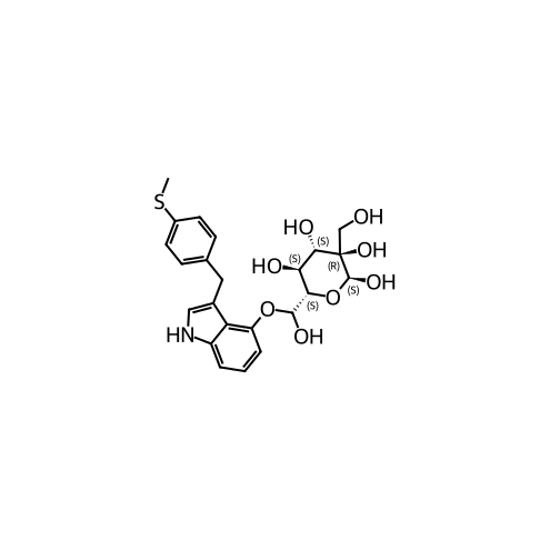 CSc1ccc(Cc2c[nH]c3cccc(OC(O)[C@H]4O[C@H](O)[C@@](O)(CO)[C@@H](O)[C@@H]4O)c23)cc1